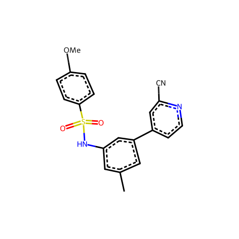 COc1ccc(S(=O)(=O)Nc2cc(C)cc(-c3ccnc(C#N)c3)c2)cc1